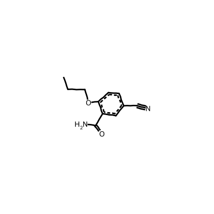 CCCOc1ccc(C#N)cc1C(N)=O